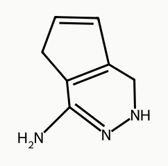 NC1=NNCC2=C1CC=C2